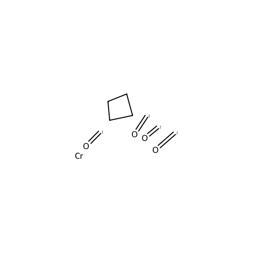 C1CCC1.[C]=O.[C]=O.[C]=O.[C]=O.[Cr]